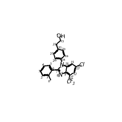 Cc1ccccc1-c1nc2c(C(F)(F)F)cc(Cl)cc2n1-c1ccc(CCO)cc1